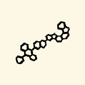 C1=C(c2ccc3sc4c(ccc5ccc6sc7ccccc7c6c54)c3c2)CCc2cc(-c3c4ccccc4c(-c4ccccc4)c4ccccc34)ccc21